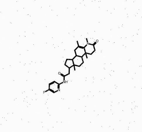 CC1=C2N(C)C(=O)CCC2(C)C2CCC3(C)C(CC(=O)Nc4ccc(F)cn4)CCC3C2C1